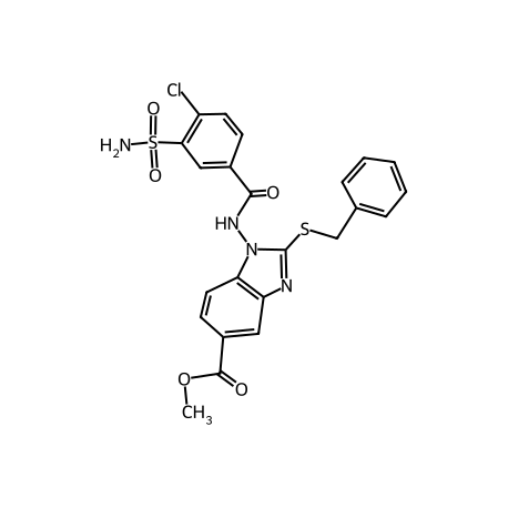 COC(=O)c1ccc2c(c1)nc(SCc1ccccc1)n2NC(=O)c1ccc(Cl)c(S(N)(=O)=O)c1